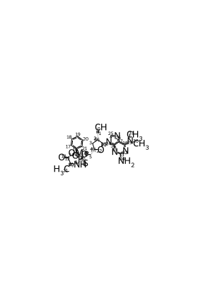 C#C[C@H]1C[C@@H](CO[P@@](=S)(N[C@H](C)C(=O)OC)Oc2ccccc2)O[C@H]1n1cnc2c(N(C)C)nc(N)nc21